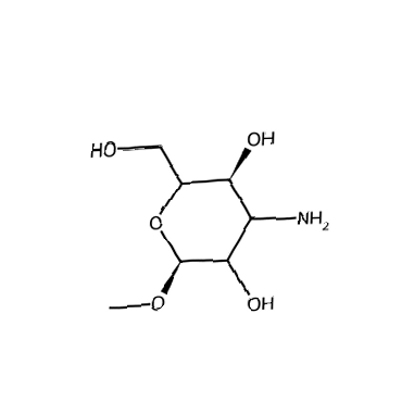 CO[C@H]1OC(CO)[C@@H](O)C(N)C1O